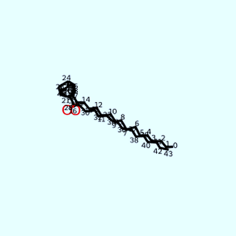 CCCCCCCCCCCCCCCC(=O)[C]12[CH]3[CH]4[CH]5[CH]1[Fe]45321678[CH]2[CH]1[CH]6[C]7(C(=O)CCCCCCCCCCCCCCC)[CH]28